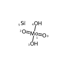 [O]=[Mo](=[O])([OH])[OH].[Si]